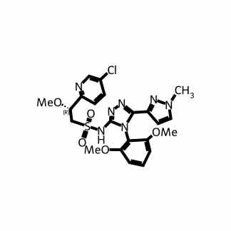 COc1cccc(OC)c1-n1c(NS(=O)(=O)C[C@H](OC)c2ccc(Cl)cn2)nnc1-c1ccn(C)n1